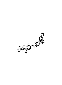 COC(CC(=O)N[C@H]1CC[C@H](CCN2CCN(c3noc4cc(Cl)ccc34)CC2)CC1)OC